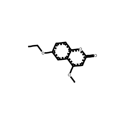 CCOc1ccc2oc(=O)cc(OC)c2c1